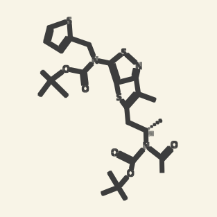 CC(=O)N(C(=O)OC(C)(C)C)[C@@H](C)Cc1sc2c(N(Cc3cccs3)C(=O)OC(C)(C)C)snc2c1C